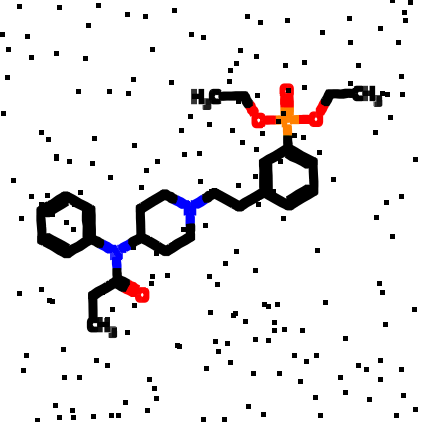 CCOP(=O)(OCC)c1cccc(CCN2CCC(N(C(=O)CC)c3ccccc3)CC2)c1